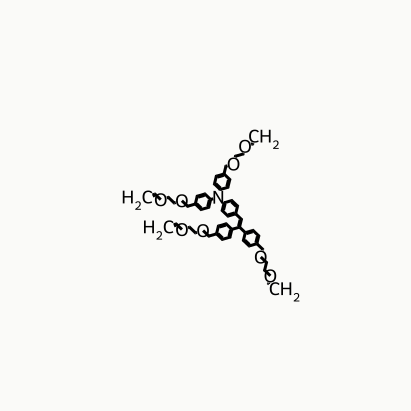 C=COCCOCc1ccc(C(=Cc2ccc(N(c3ccc(COCCOC=C)cc3)c3ccc(COCCOC=C)cc3)cc2)c2ccc(COCCOC=C)cc2)cc1